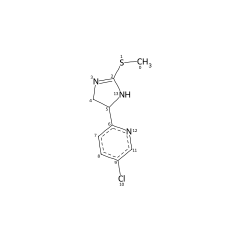 CSC1=NCC(c2ccc(Cl)cn2)N1